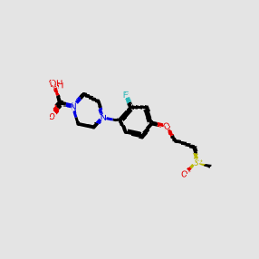 C[S@@+]([O-])CCOc1ccc(N2CCN(C(=O)O)CC2)c(F)c1